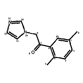 Cc1ccc(C)c(C(=O)Cn2ccnc2)c1